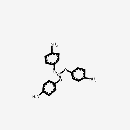 Nc1ccc([O][Zr]([O]c2ccc(N)cc2)[O]c2ccc(N)cc2)cc1